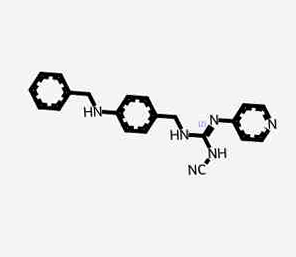 N#CN/C(=N\c1ccncc1)NCc1ccc(NCc2ccccc2)cc1